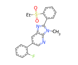 CCS(=O)(=O)c1ccccc1-c1nc2cc(-c3ccccc3F)cnc2n1C